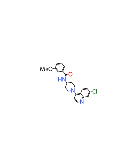 COc1cccc(C(=O)NC2CCN(c3ccnc4cc(Cl)ccc34)CC2)c1